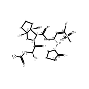 CC(C)(C)[C@@H](NC(=O)C(F)(F)F)C(=O)N1C[C@@H]2CCC[C@@H]2[C@H]1C(=O)N[C@H](/C=C(/F)S(C)(=O)=O)C[C@H]1CCNC1=O